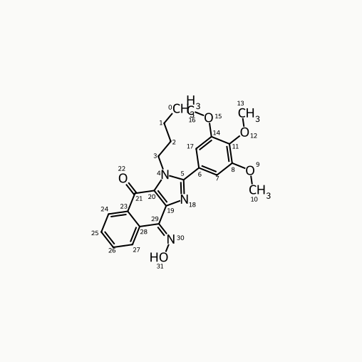 CCCCn1c(-c2cc(OC)c(OC)c(OC)c2)nc2c1C(=O)c1ccccc1C2=NO